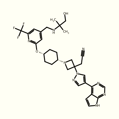 CC(C)(CO)NCc1cc(O[C@H]2CC[C@@H](N3CC(CC#N)(n4cc(-c5ncnc6[nH]ccc56)cn4)C3)CC2)nc(C(F)(F)F)c1